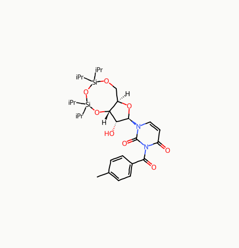 Cc1ccc(C(=O)n2c(=O)ccn([C@@H]3O[C@@H]4CO[Si](C(C)C)(C(C)C)O[Si](C(C)C)(C(C)C)O[C@H]4[C@H]3O)c2=O)cc1